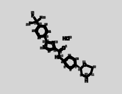 Cl.O=C(Nc1ccc([C@H]2CNCCO2)cc1)c1cnn(-c2ccc(C(F)(F)F)cc2)n1